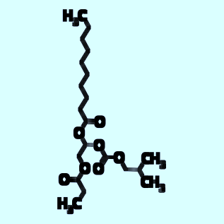 CCCCCCCCCC(=O)OC(COC(=O)CC)OC(=O)OCC(C)C